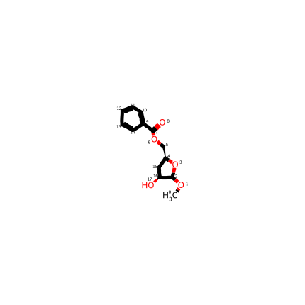 COC1O[C@H](COC(=O)c2ccccc2)C[C@@H]1O